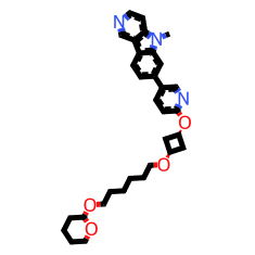 Cn1c2ccncc2c2ccc(-c3ccc(O[C@H]4C[C@H](OCCCCCCOC5CCCCO5)C4)nc3)cc21